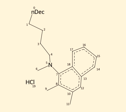 CCCCCCCCCCCCCCN(C)c1c(C)c(C)cc2ccccc12.Cl